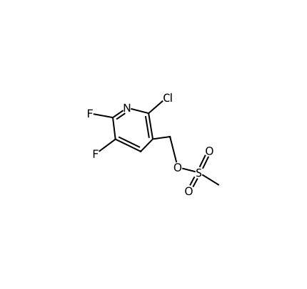 CS(=O)(=O)OCc1cc(F)c(F)nc1Cl